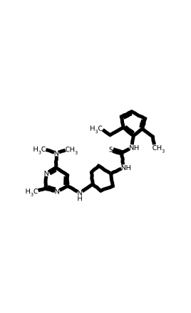 CCc1cccc(CC)c1NC(=S)NC1CCC(Nc2cc(N(C)C)nc(C)n2)CC1